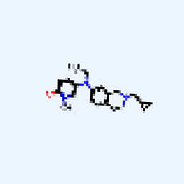 CCN(c1ccc2c(c1)CN(CC1CC1)CC2)c1ccc(=O)n(C)c1